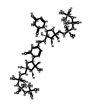 C[C@]1(O)[C@H](n2ccc(NO[C@@]3(C)[C@H](n4ccc(=O)[nH]c4=O)O[C@](F)(COP(=O)(O)OP(=O)(O)OP(=O)(O)O)[C@H]3F)nc2=O)O[C@](F)(COP(=O)(O)OP(=O)(O)OP(=O)(O)O)[C@H]1F